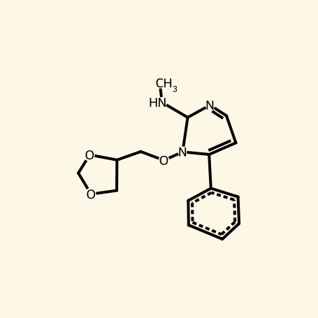 CNC1N=CC=C(c2ccccc2)N1OCC1COCO1